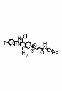 CC(=O)N1CC(NC(=O)C=CS(=O)(=O)N2CC[C@@H](c3[nH]c(-c4ccc(F)cn4)nc3Cl)[C@@H](C)C2)C1